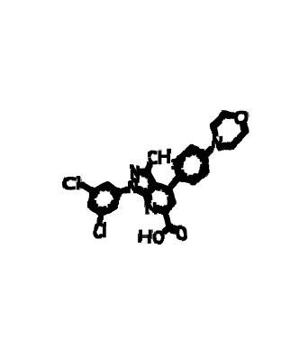 Cc1nn(-c2cc(Cl)cc(Cl)c2)c2nc(C(=O)O)cc(-c3ccc(N4CCOCC4)cc3)c12